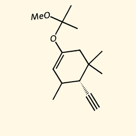 C#C[C@@H]1C(C)C=C(OC(C)(C)OC)CC1(C)C